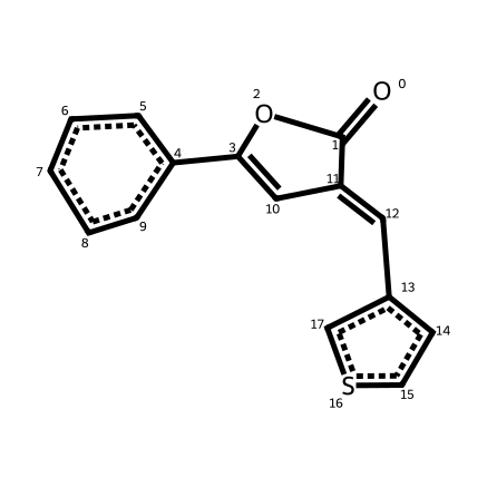 O=C1OC(c2ccccc2)=CC1=Cc1ccsc1